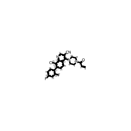 C=CC(=O)N1CCN(c2c(C#N)cnc3c(Cl)c(-c4ccc(F)cc4F)ccc23)CC1